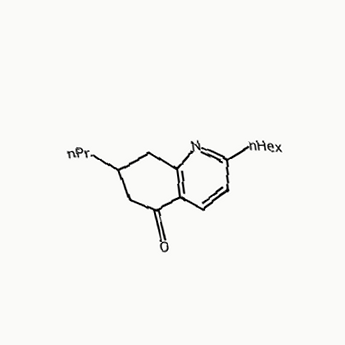 CCCCCCc1ccc2c(n1)CC(CCC)CC2=O